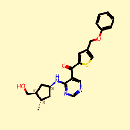 C[C@H]1C[C@H](Nc2ncncc2C(=O)c2cc(COc3ccccc3)cs2)C[C@@H]1CO